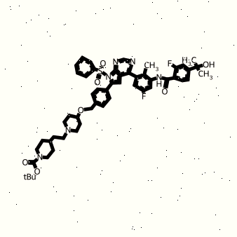 Cc1c(NC(=O)c2ccc(C(C)(C)O)cc2F)cc(F)cc1-c1ncnc2c1cc(-c1ccc(COC3CCN(CCC4CCN(C(=O)OC(C)(C)C)CC4)CC3)cc1)n2S(=O)(=O)c1ccccc1